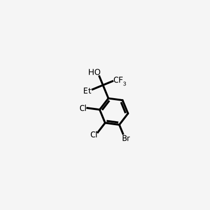 CCC(O)(c1ccc(Br)c(Cl)c1Cl)C(F)(F)F